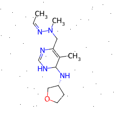 C/C=N\N(C)CC1=C(C)C(N[C@@H]2CCOC2)NC=N1